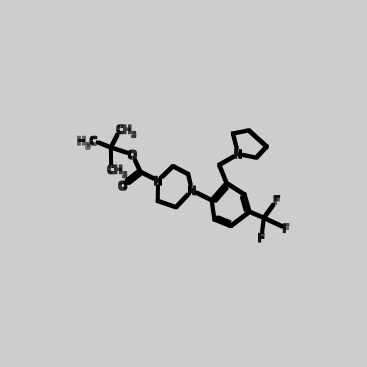 CC(C)(C)OC(=O)N1CCN(c2ccc(C(F)(F)F)cc2CN2CCCC2)CC1